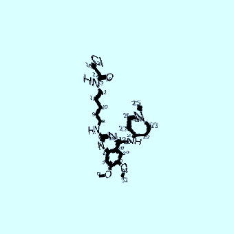 COc1cc2nc(NCCCCCNC(=O)CCl)nc(NC3CCN(C)CC3)c2cc1OC